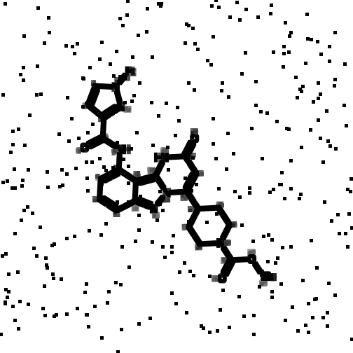 CCn1ccc(C(=O)Nc2cccc3nn4c(C5CCN(C(=O)OC(C)(C)C)CC5)cc(=O)[nH]c4c23)n1